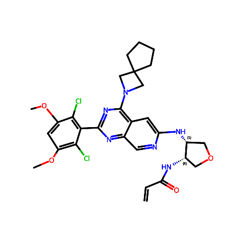 C=CC(=O)N[C@H]1COC[C@H]1Nc1cc2c(N3CC4(CCCC4)C3)nc(-c3c(Cl)c(OC)cc(OC)c3Cl)nc2cn1